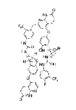 O=C1CCc2c(Oc3ccc4c(c3)[C@H]3[C@H](NC(=O)Nc5ccc(Cc6cc(Oc7ccc(O)c([C@@H]8[C@@H]9C[C@@]89NC(O)Nc8ccc(F)c(C(F)(F)F)c8)c7)c7c(n6)NC(=O)CC7)c(C(F)(F)F)c5)[C@H]3O4)ccnc2N1